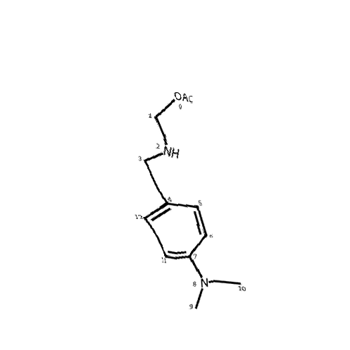 CC(=O)OCNCc1ccc(N(C)C)cc1